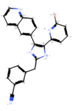 N#Cc1cccc(Cc2nc(-c3ccc4ncccc4c3)c(-c3cccc(Br)n3)[nH]2)c1